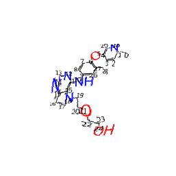 Cc1ccc(Oc2ccc(Nc3ncnc4ccn(CCOCCO)c34)cc2C)cn1